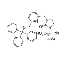 CC[C@H](C)[C@](C(=O)O)(N1CCN(Cc2cccc(COC(c3ccccc3)(c3ccccc3)c3ccccc3)n2)C1=O)C(C)(C)C